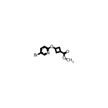 COC(=O)C1CC(Oc2ccc(Br)cn2)C1